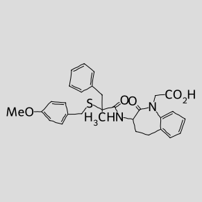 COc1ccc(CSC(C)(Cc2ccccc2)C(=O)NC2CCc3ccccc3N(CC(=O)O)C2=O)cc1